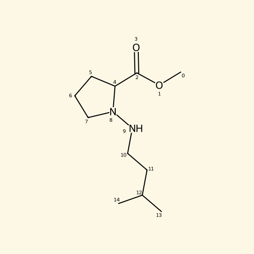 COC(=O)C1CCCN1NCCC(C)C